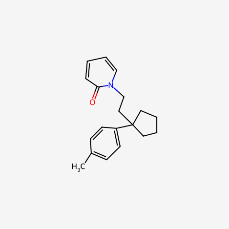 Cc1ccc(C2(CCn3ccccc3=O)CCCC2)cc1